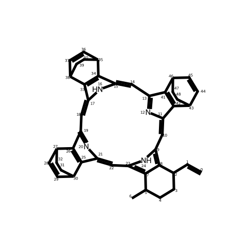 C=CC1CCC(C)c2c1c1cc3nc(cc4[nH]c(cc5nc(cc2[nH]1)C1=C5C2C=CC1CC2)c1c4C2C=CC1CC2)C1=C3C2C=CC1CC2